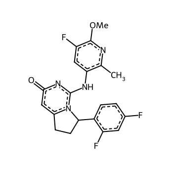 COc1nc(C)c(Nc2nc(=O)cc3n2C(c2ccc(F)cc2F)CC3)cc1F